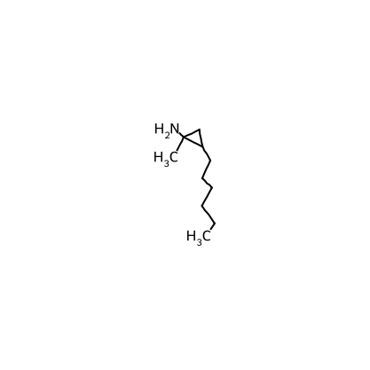 CCCCCCC1CC1(C)N